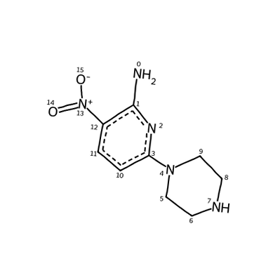 Nc1nc(N2CCNCC2)ccc1[N+](=O)[O-]